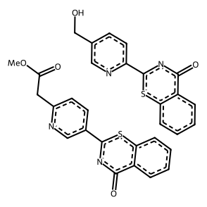 COC(=O)Cc1ccc(-c2nc(=O)c3ccccc3s2)cn1.O=c1nc(-c2ccc(CO)cn2)sc2ccccc12